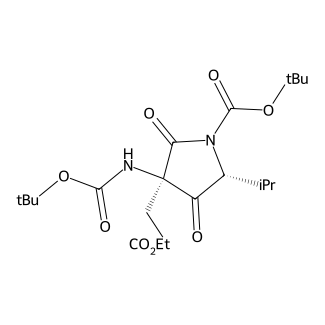 CCOC(=O)C[C@@]1(NC(=O)OC(C)(C)C)C(=O)[C@@H](C(C)C)N(C(=O)OC(C)(C)C)C1=O